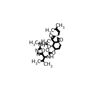 CNc1nnc(C(NC(=O)O[C@@H]2CC[C@]3(CO3)C([C@@]3(C)O[C@@H]3CC=C(C)C)[C@@H]2OC)C(C)C)o1